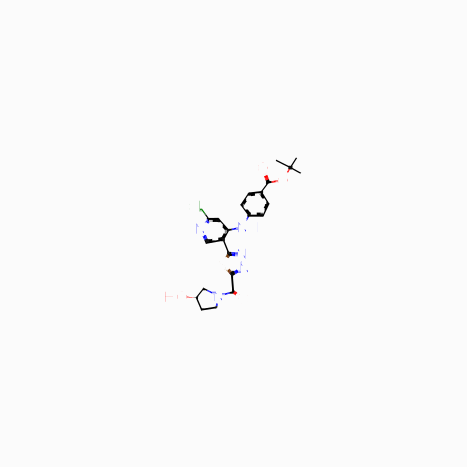 CC(C)(C)OC(=O)c1ccc(Nc2cc(Cl)ncc2-c2nnc(C(=O)N3CC[C@@H](O)C3)s2)cc1